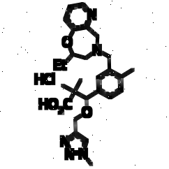 CCC1CN(Cc2cc(C(OCc3cn(C)nn3)C(C)(C)C(=O)O)ccc2C)Cc2ncccc2O1.Cl